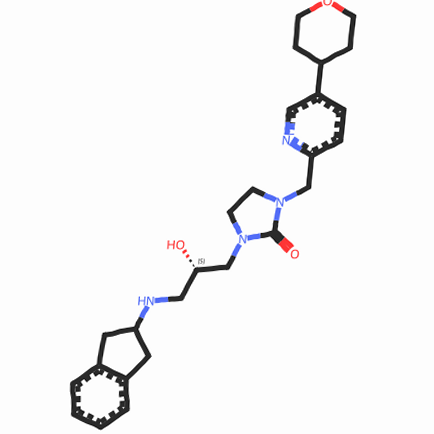 O=C1N(Cc2ccc(C3CCOCC3)cn2)CCN1C[C@@H](O)CNC1Cc2ccccc2C1